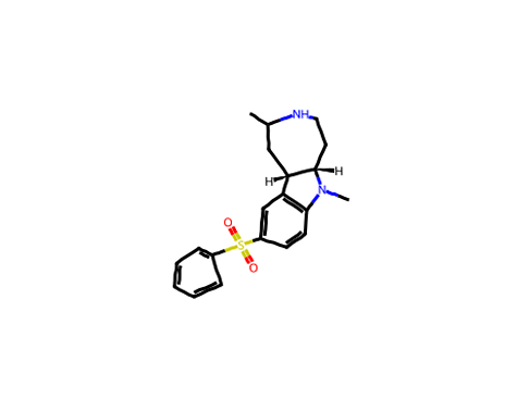 CC1C[C@H]2c3cc(S(=O)(=O)c4ccccc4)ccc3N(C)[C@H]2CCN1